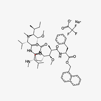 CC[C@H](C)[C@@H]([C@@H](CC(=O)N1CCC[C@H]1[C@H](OC)[C@@H](C)C(=O)N[C@@H](Cc1ccccc1)C(=O)OCc1cccc2ccccc12)OC)N(C)[C@H](C(=O)NC(=O)[C@@H](NC)C(C)C)C(C)C.O=C([O-])C(F)(F)F.[Na+]